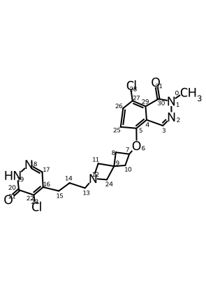 Cn1ncc2c(OC3CC4(C3)CN(CCCc3cn[nH]c(=O)c3Cl)C4)ccc(Cl)c2c1=O